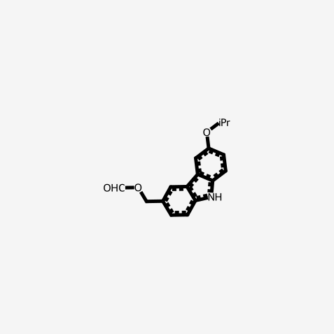 CC(C)Oc1ccc2[nH]c3ccc(COC=O)cc3c2c1